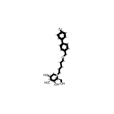 OC[C@H]1[C@@H](O)[C@H](O)[C@@H](O)CN1CCCCCOCc1ccc(-c2ccc(F)cc2)cc1